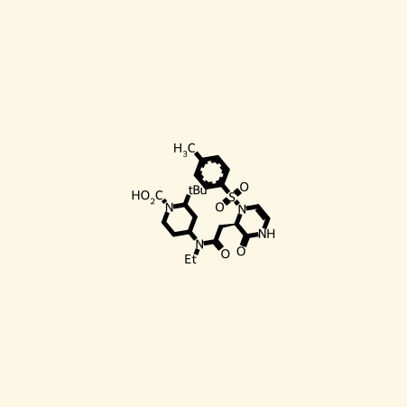 CCN(C(=O)C[C@@H]1C(=O)NC=CN1S(=O)(=O)c1ccc(C)cc1)C1CCN(C(=O)O)C(C(C)(C)C)C1